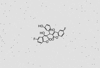 O=c1oc2ccc(F)cc2c(O)c1C(c1cccc(O)c1)c1c(O)c2cc(F)ccc2oc1=O